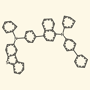 c1ccc(-c2ccc(N(c3ccccc3)c3ccc(-c4ccc(N(c5ccccc5)c5ccc6sc7ccccc7c6c5)cc4)c4ccccc34)cc2)cc1